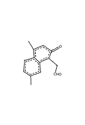 Cc1ccc2c(C)cc(=O)n(CC=O)c2c1